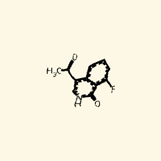 CC(=O)c1c[nH]c(=O)c2c(F)cccc12